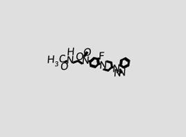 CC(=O)NCC1CN(c2ccc(N3CCC(n4nnc5ccccc54)CC3)c(F)c2)C(=O)O1